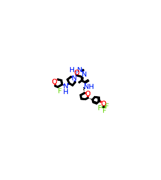 C=C(NC[C@H]1CCC[C@@H](C2C=CC(OC(F)(F)F)=CC2)O1)/C(C)=C(\N=C/N)C(=O)N1CCC(N[C@@H]2CCOC[C@@H]2F)CC1